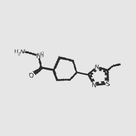 Cc1nc(C2CCC(C(=O)NN)CC2)ns1